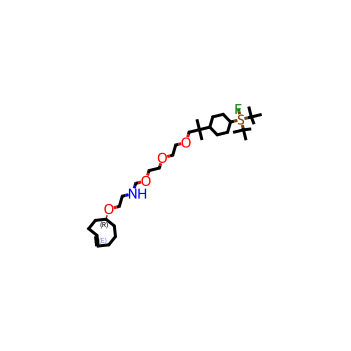 CC(C)(COCCOCCOCNCCO[C@H]1CC/C=C/CCC1)C1CCC(S(F)(C(C)(C)C)C(C)(C)C)CC1